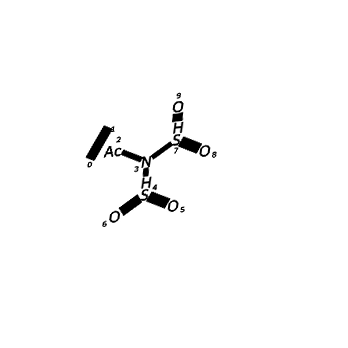 C=C.CC(=O)N([SH](=O)=O)[SH](=O)=O